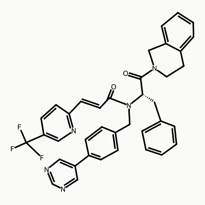 O=C([C@H](Cc1ccccc1)N(Cc1ccc(-c2cncnc2)cc1)C(=O)/C=C/c1ccc(C(F)(F)F)cn1)N1CCc2ccccc2C1